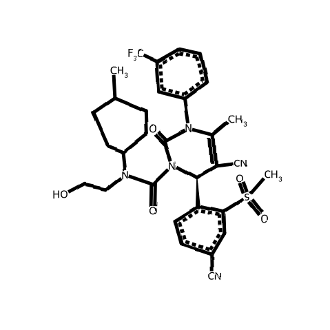 CC1=C(C#N)[C@@H](c2ccc(C#N)cc2S(C)(=O)=O)N(C(=O)N(CCO)C2CCC(C)CC2)C(=O)N1c1cccc(C(F)(F)F)c1